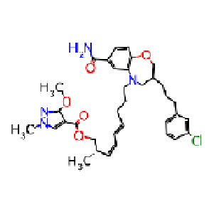 COc1nn(C)cc1C(=O)OC[C@@H](C)/C=C\C=C\CCCN1CC(CCCc2cccc(Cl)c2)COc2ccc(C(N)=O)cc21